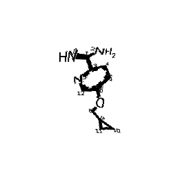 N=C(N)c1ccc(OCC2CC2)cn1